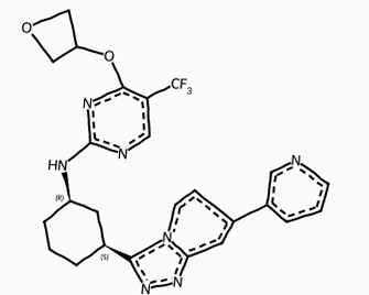 FC(F)(F)c1cnc(N[C@@H]2CCC[C@H](c3nnc4cc(-c5cccnc5)ccn34)C2)nc1OC1COC1